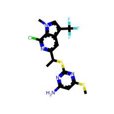 CSc1cc(N)nc(SC(C)c2cc3c(C(F)(F)F)cn(C)c3c(Cl)n2)n1